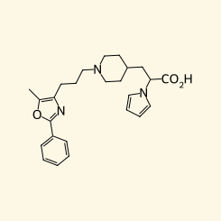 Cc1oc(-c2ccccc2)nc1CCCN1CCC(CC(C(=O)O)n2cccc2)CC1